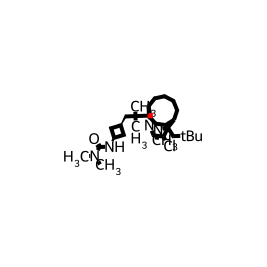 CN(C)C(=O)N[C@H]1C[C@@H](CC(C)(C)C2C3CCCCC(CCC3)C3(CC(C)(C)C)C(Cl)CN2N3C)C1